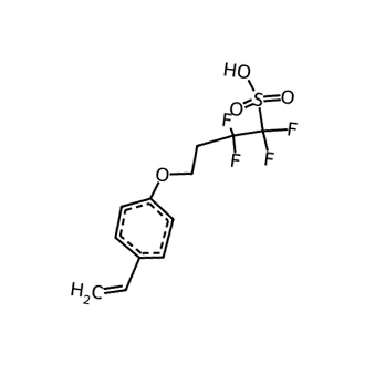 C=Cc1ccc(OCCC(F)(F)C(F)(F)S(=O)(=O)O)cc1